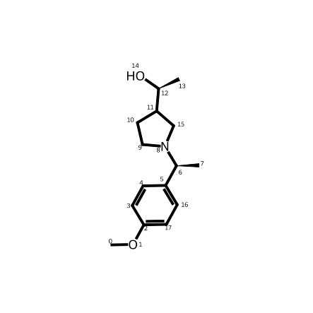 COc1ccc([C@H](C)N2CCC([C@H](C)O)C2)cc1